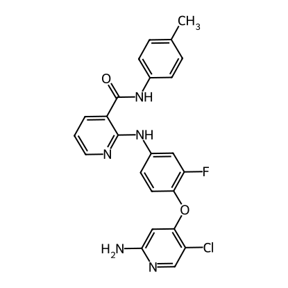 Cc1ccc(NC(=O)c2cccnc2Nc2ccc(Oc3cc(N)ncc3Cl)c(F)c2)cc1